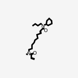 C=CC(=O)N(C)CCCCCCC/C=C/C(=O)N(CCCC)C1CCCCC1